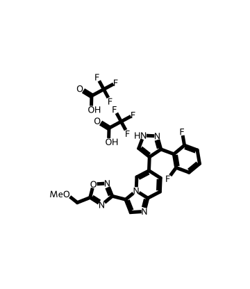 COCc1nc(-c2cnc3ccc(-c4c[nH]nc4-c4c(F)cccc4F)cn23)no1.O=C(O)C(F)(F)F.O=C(O)C(F)(F)F